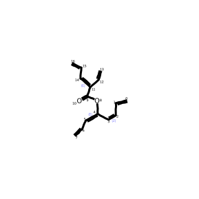 C=C/C=C\C(=C/C=C)OC(=O)/C(C=C)=C/C=C